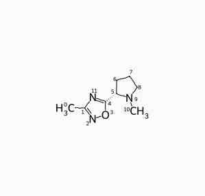 Cc1noc([C@@H]2CCCN2C)n1